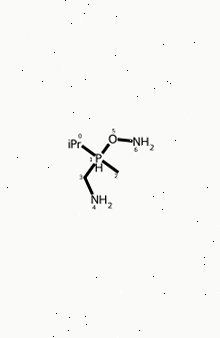 CC(C)[PH](C)(CN)ON